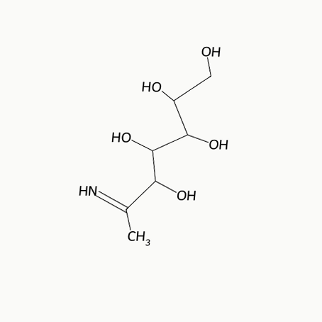 CC(=N)C(O)C(O)C(O)C(O)CO